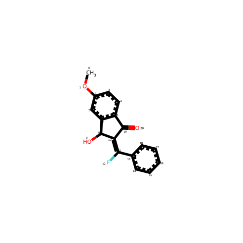 COc1ccc2c(c1)C(O)/C(=C(\F)c1ccccc1)C2=O